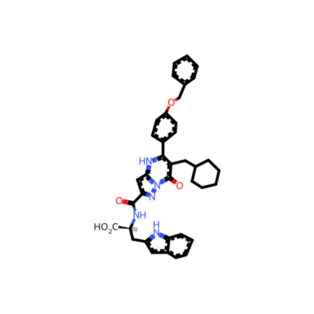 O=C(N[C@@H](Cc1cc2ccccc2[nH]1)C(=O)O)c1cc2[nH]c(-c3ccc(OCc4ccccc4)cc3)c(CC3CCCCC3)c(=O)n2n1